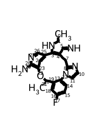 CCN/C1=C(\C=N)Cc2nccn2-c2ccc(F)cc2[C@@H](C)Oc2cc1cnc2N